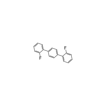 Fc1ccccc1-c1ccc(-c2ccccc2F)cc1